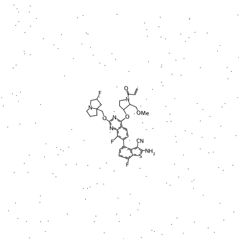 C=CC(=O)N1CCC(Oc2nc(OCC34CCCN3CC(F)C4)nc3c(F)c(-c4ccc(F)c5sc(N)c(C#N)c45)ccc23)C1COC